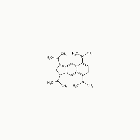 CN(C)C1=CCC(N(C)C)=c2cc3c(cc21)=C(N(C)C)CC3N(C)C